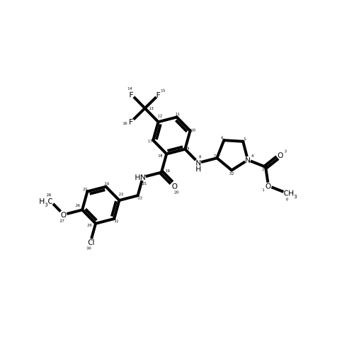 COC(=O)N1CCC(Nc2ccc(C(F)(F)F)cc2C(=O)NCc2ccc(OC)c(Cl)c2)C1